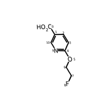 O=C(O)c1ccc(OCCF)nc1